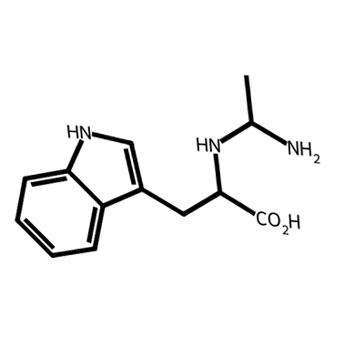 CC(N)NC(Cc1c[nH]c2ccccc12)C(=O)O